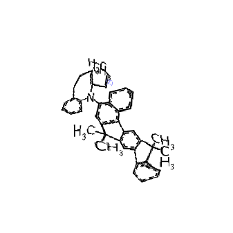 C/C=C\C1=C(C)CCc2ccccc2N1c1cc2c(c3ccccc13)-c1cc3c(cc1C2(C)C)-c1ccccc1C3(C)C